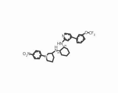 O=[N+]([O-])c1ccc(N2CCCC(N[C@@H]3CCCC[C@H]3Nc3cc(-c4cccc(OC(F)(F)F)c4)ccn3)C2)cc1